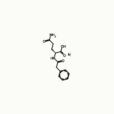 NC(=O)CC[C@H](NC(=O)Cc1ccccc1)C(=O)O.[N]